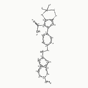 CC1(C)CCc2sc(-c3ccc(CNc4nc5ccc(N)cc5s4)cc3)c(C(=O)O)c2C1